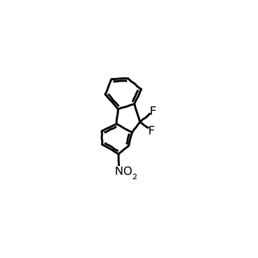 O=[N+]([O-])c1ccc2c(c1)C(F)(F)c1ccccc1-2